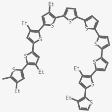 CCc1cc(-c2sc(-c3cc(CC)c(-c4cc(CC)c(-c5ccc(-c6ccc(-c7ccc(-c8ccc(-c9sc(-c%10sccc%10CC)cc9CC)s8)s7)s6)s5)s4)s3)cc2CC)sc1C